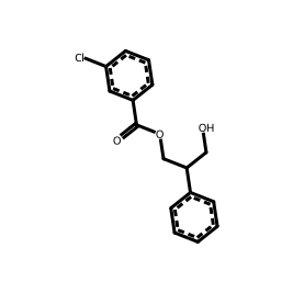 O=C(OCC(CO)c1ccccc1)c1cccc(Cl)c1